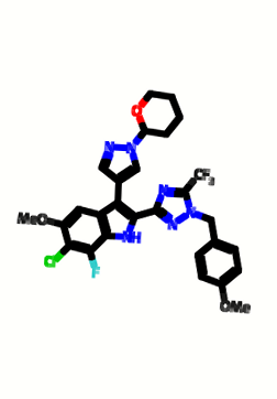 COc1ccc(Cn2nc(-c3[nH]c4c(F)c(Cl)c(OC)cc4c3-c3cnn(C4CCCCO4)c3)nc2C(F)(F)F)cc1